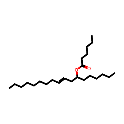 CCCCCCCCC=CCC(CCCCCC)OC(=O)CCCCC